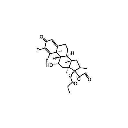 CCC(=O)O[C@]1(C(=O)C=O)[C@H](C)C[C@H]2[C@@H]3CCC4=CC(=O)C(F)=C(F)[C@]4(C)[C@H]3[C@@H](O)C[C@@]21C